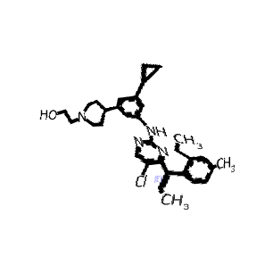 C/C=C(\c1ccc(C)cc1CC)c1nc(Nc2cc(C3CC3)cc(C3CCN(CCO)CC3)c2)ncc1Cl